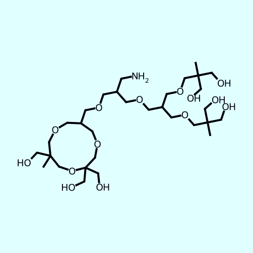 CC(CO)(CO)COCC(COCC(CN)COCC1COCC(C)(CO)COC(CO)(CO)COC1)COCC(C)(CO)CO